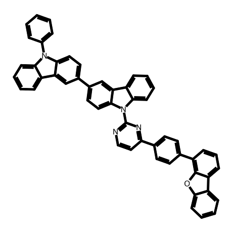 c1ccc(-n2c3ccccc3c3cc(-c4ccc5c(c4)c4ccccc4n5-c4nccc(-c5ccc(-c6cccc7c6oc6ccccc67)cc5)n4)ccc32)cc1